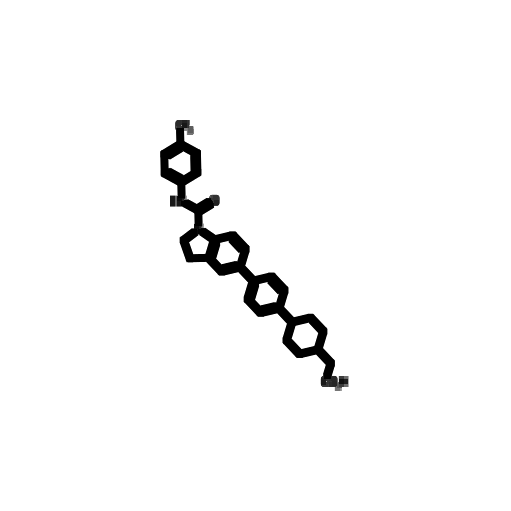 O=C(O)CC1CCC(c2ccc(-c3ccc4c(c3)CCN4C(=O)Nc3ccc(C(F)(F)F)cc3)cc2)CC1